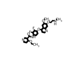 CCOc1ccncc1C(=O)Nc1ccc(Oc2ccnc3cc(OCCNC)c(OC)cc23)c(F)c1F